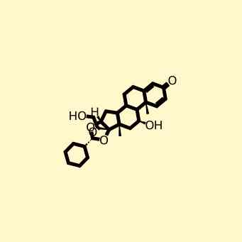 C[C@]12C=CC(=O)C=C1CCC1C2[C@@H](O)C[C@@]2(C)C1C[C@H]1O[C@@H](C3CCCCC3)O[C@]12C(=O)CO